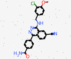 COc1ccc(CNc2nnc(-c3ccc(C(N)=O)cc3)c3ccc(C#N)cc23)cc1Cl